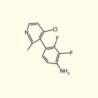 Cc1nccc(Cl)c1-c1ccc(N)c(F)c1F